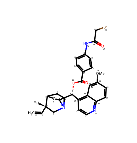 C=C[C@H]1CN2CCC1CC2[C@H](OC(=O)c1ccc(NC(=O)CBr)cc1)c1ccnc2ccc(OC)cc12